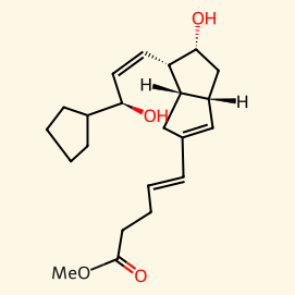 COC(=O)CCC=CC1=C[C@H]2C[C@@H](O)[C@@H](/C=C\[C@@H](O)C3CCCC3)[C@H]2C1